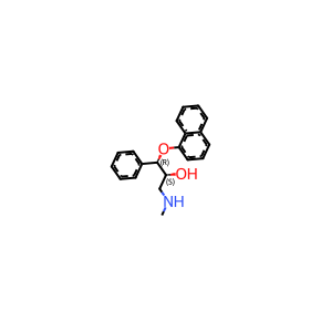 CNC[C@H](O)[C@H](Oc1cccc2ccccc12)c1ccccc1